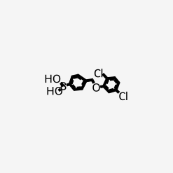 OB(O)c1ccc(COc2cc(Cl)ccc2Cl)cc1